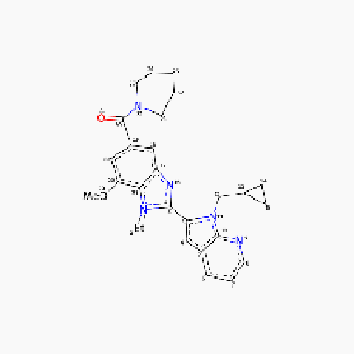 CCn1c(-c2cc3cccnc3n2CC2CC2)nc2cc(C(=O)N3CCCCC3)cc(OC)c21